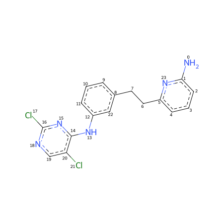 Nc1cccc(CCc2cccc(Nc3nc(Cl)ncc3Cl)c2)n1